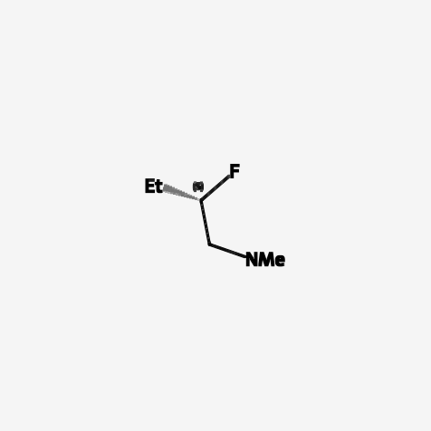 CC[C@H](F)CNC